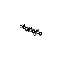 O=C(Nc1ccccc1)c1cc(F)c(NC(=O)N2C3CCC2c2n[nH]c(=O)cc2C3)cc1Cl